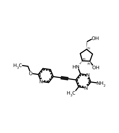 CCOc1ccc(C#Cc2c(C)nc(N)nc2N[C@@H]2C[C@H](CO)C[C@H]2O)cn1